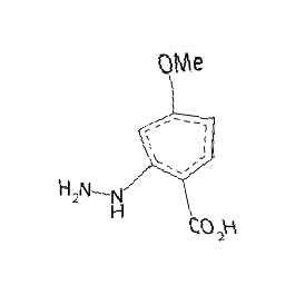 COc1ccc(C(=O)O)c(NN)c1